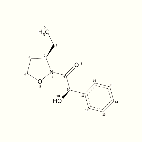 CC[C@@H]1CCON1C(=O)[C@H](O)c1ccccc1